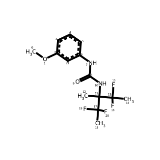 COc1cccc(NC(=O)NC(C)(C(C)(F)F)C(C)(F)F)c1